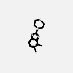 Fc1ccc2sc(N3CCOCC3)nc2c1F